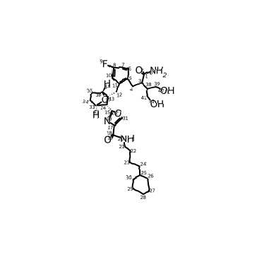 NC(=O)C(Cc1ccc(F)cc1C[C@@H]1[C@H](c2nc(C(=O)NCCCCC3CCCCC3)co2)[C@H]2CC[C@H]1O2)C(CO)CO